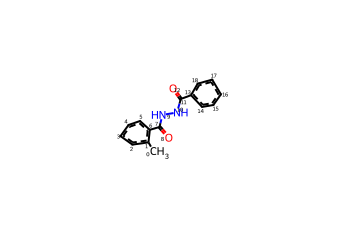 Cc1ccccc1C(=O)NNC(=O)c1ccccc1